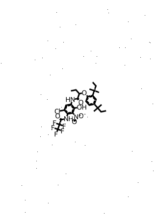 CCC(Oc1ccc(C(C)(C)CC)cc1C(C)(C)CC)C(=O)Nc1cc(Cl)c(NC(=O)C(F)(F)C(F)(F)F)c([N+](=O)[O-])c1O